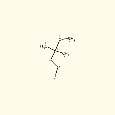 CC(C)(CCI)O[SiH3]